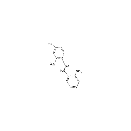 N#Cc1ccc(NNc2ccccc2[N+](=O)[O-])c([N+](=O)[O-])c1